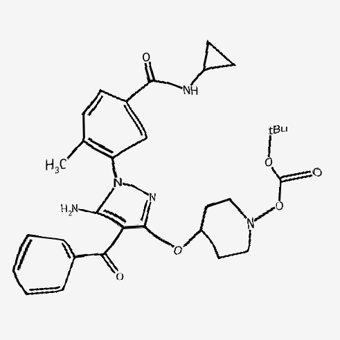 Cc1ccc(C(=O)NC2CC2)cc1-n1nc(OC2CCN(OC(=O)OC(C)(C)C)CC2)c(C(=O)c2ccccc2)c1N